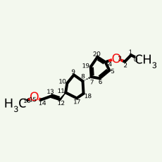 CCCOc1ccc([C@H]2CC[C@H](C=CCOC)CC2)cc1